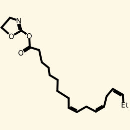 CC/C=C\C/C=C\C/C=C\CCCCCCCC(=O)OC1=NCCO1